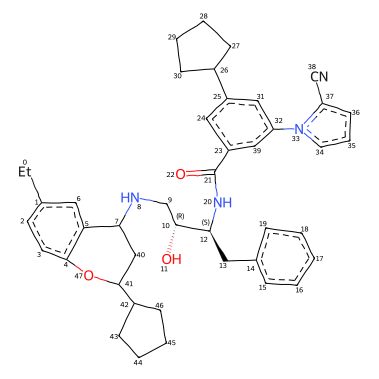 CCc1ccc2c(c1)C(NC[C@@H](O)[C@H](Cc1ccccc1)NC(=O)c1cc(C3CCCC3)cc(-n3cccc3C#N)c1)CC(C1CCCC1)O2